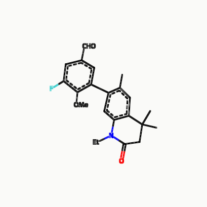 CCN1C(=O)CC(C)(C)c2cc(C)c(-c3cc(C=O)cc(F)c3OC)cc21